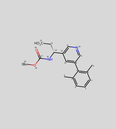 Cc1cccc(C)c1-c1cncc([C@@H](CC(=O)O)NC(=O)OC(C)(C)C)c1